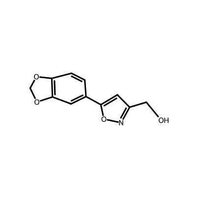 OCc1cc(-c2ccc3c(c2)OCO3)on1